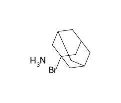 BrC12CC3CC(CC(C3)C1)C2.N